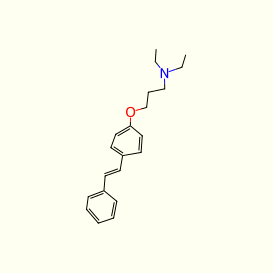 CCN(CC)CCCOc1ccc(/C=C/c2ccccc2)cc1